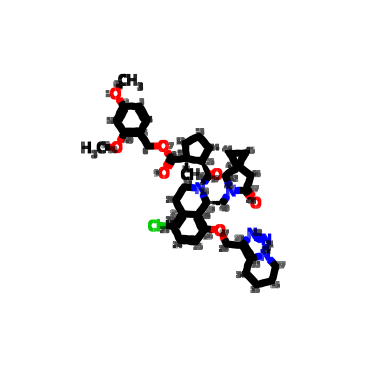 COc1ccc(COC(=O)[C@@]2(C)CCC[C@H]2C(=O)N2CCc3c(Cl)ccc(OCc4nnn5c4CCCC5)c3[C@H]2CN2CC3(CC3)CC2=O)c(OC)c1